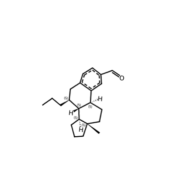 CCC[C@H]1Cc2ccc(C=O)cc2[C@H]2CC[C@]3(C)CCC[C@H]3[C@H]12